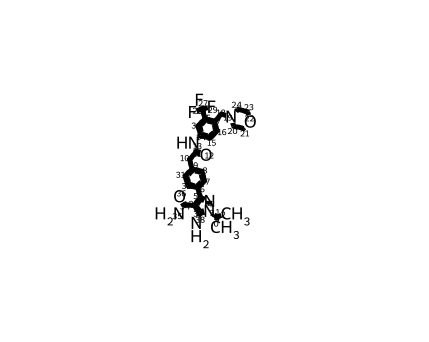 CC(C)n1nc(-c2ccc(CC(=O)Nc3ccc(CN4CCOCC4)c(C(F)(F)F)c3)cc2)c(C(N)=O)c1N